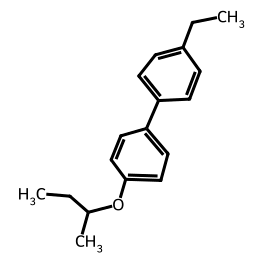 CCc1ccc(-c2ccc(OC(C)CC)cc2)cc1